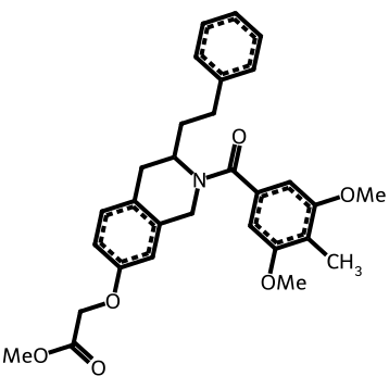 COC(=O)COc1ccc2c(c1)CN(C(=O)c1cc(OC)c(C)c(OC)c1)C(CCc1ccccc1)C2